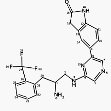 NC(CNc1cncc(-c2ccc3c(c2)CC(=O)N3)n1)Cc1ccccc1C(F)(F)F